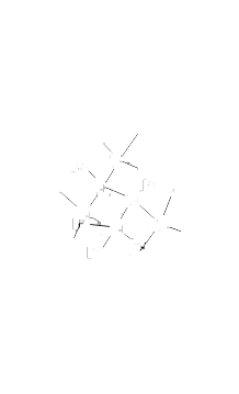 C[Si](C)(C)[Si](Br)([Si](C)(C)C)[Si](Br)([Si](C)(C)C)[Si](Br)(Br)Br